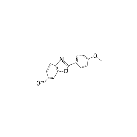 COc1ccc(-c2nc3ccc(C=O)cc3o2)cc1